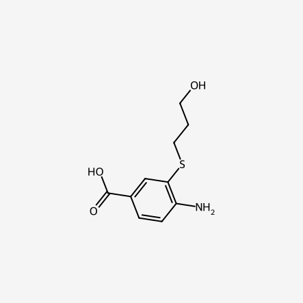 Nc1ccc(C(=O)O)cc1SCCCO